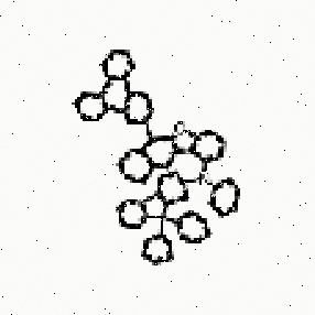 c1ccc(N(c2ccc3c(c2)C(c2ccccc2)(c2ccccc2)c2ccccc2-3)c2cccc3oc4c(-c5ccc6c7ccccc7c7ccccc7c6c5)c5ccccc5cc4c23)cc1